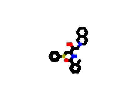 Cc1ccccc1C(=O)NC(CSc1ccccc1)C(O)CN1CCC2CCCCC2C1